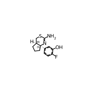 NC1=N[C@@]2(c3ccc(F)c(O)c3)CCC[C@H]2CS1